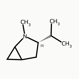 CC(C)[C@@H]1CC2CC2N1C